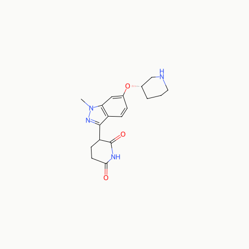 Cn1nc(C2CCC(=O)NC2=O)c2ccc(O[C@H]3CCCNC3)cc21